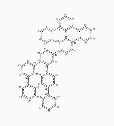 c1ccc(-c2cccc(-c3cc(-c4cccc(-c5ccccc5)c4)c(-c4ccc(-c5ccccn5)cc4)cc3-c3ccc(-c4ccccn4)cc3)c2)cc1